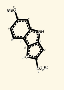 CCOC(=O)c1cc2[nH]c3cc(OC)ccc3c2o1